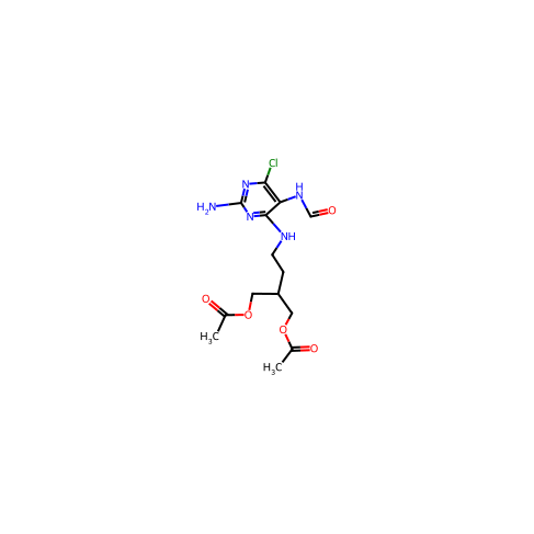 CC(=O)OCC(CCNc1nc(N)nc(Cl)c1NC=O)COC(C)=O